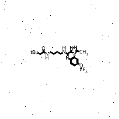 Cc1nnc2c(NCCCCNC(=O)CC(C)(C)C)nc3ccc(OC(F)(F)F)cc3n12